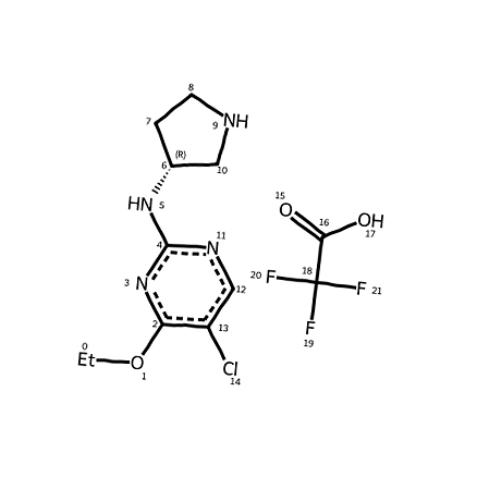 CCOc1nc(N[C@@H]2CCNC2)ncc1Cl.O=C(O)C(F)(F)F